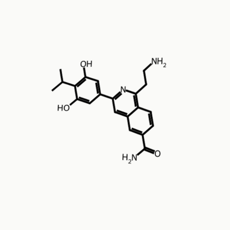 CC(C)c1c(O)cc(-c2cc3cc(C(N)=O)ccc3c(CCN)n2)cc1O